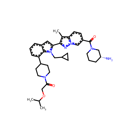 Cc1c(-c2cc3cccc(C4CCN(C(=O)COC(C)C)CC4)c3n2CC2CC2)nn2cc(C(=O)N3CCC[C@@H](N)C3)ccc12